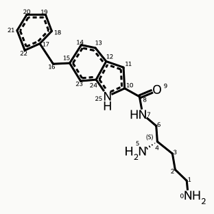 NCCC[C@H](N)CNC(=O)c1cc2ccc(Cc3ccccc3)cc2[nH]1